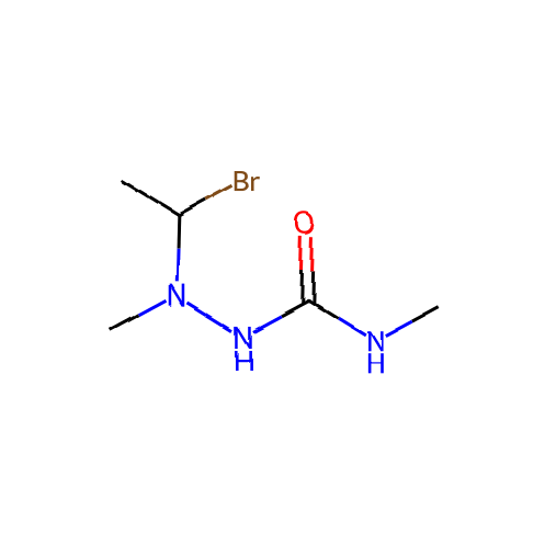 CNC(=O)NN(C)C(C)Br